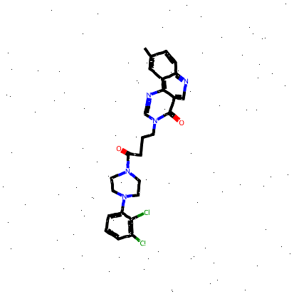 Cc1ccc2ncc3c(=O)n(CCCC(=O)N4CCN(c5cccc(Cl)c5Cl)CC4)cnc3c2c1